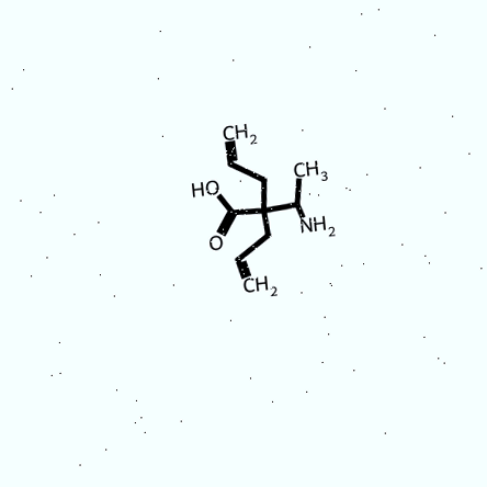 C=CCC(CC=C)(C(=O)O)C(C)N